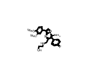 COc1ccc(-c2cnn3c(N)c(-c4ccc(F)cc4)c(CNCCO)nc23)cc1OC